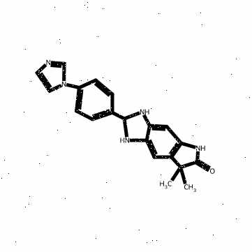 CC1(C)C(=O)Nc2cc3c(cc21)NC(c1ccc(-n2ccnc2)cc1)N3